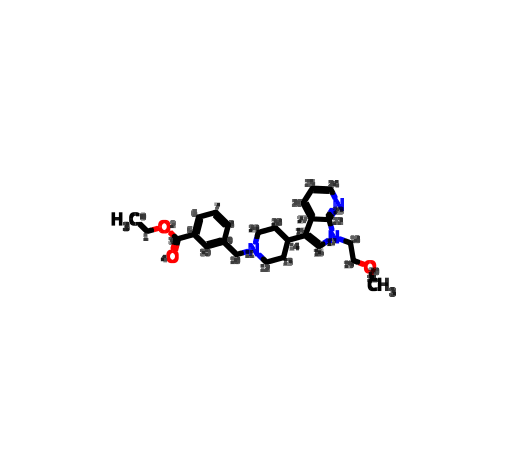 CCOC(=O)c1cccc(CN2CCC(c3cn(CCOC)c4ncccc34)CC2)c1